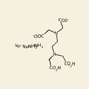 N.N.O=C([O-])CN(CCN(CC(=O)O)CC(=O)O)CC(=O)[O-].[Na+].[Na+]